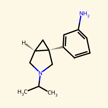 CC(C)N1C[C@H]2C[C@@]2(c2[c]ccc(N)c2)C1